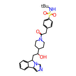 CC(C)(C)NS(=O)(=O)c1ccc(CC(=O)N2CCC(C(O)CC3c4ccccc4-c4cncn43)CC2)cc1